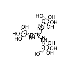 OCC[C@H]1O[C@@H](n2cc(CN(Cc3cn(C4C[C@@H](O)[C@H](O)[C@@H](CO)O4)nn3)Cc3cn([C@@H]4O[C@H](CO)[C@@H](O)[C@H](O)[C@H]4O)nn3)nn2)[C@H](O)[C@@H](O)[C@@H]1O